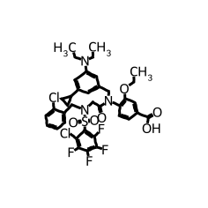 CCOc1cc(C(=O)O)ccc1N(Cc1cc(C2CC2)cc(N(CC)CC)c1)C(=O)CN(Cc1ccccc1Cl)S(=O)(=O)c1c(F)c(F)c(F)c(F)c1Cl